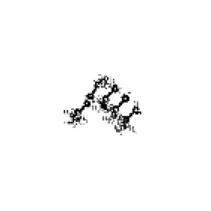 CN(C(=O)c1ncc(C#Cc2cccc(F)c2)cc1F)C(C)(C)C.Cc1cc(C#Cc2cc(F)ccc2F)cnc1C(=O)N(C)C(C)(C)C.Cc1cc(C#Cc2ccc(F)cc2)cnc1C(=O)N(C)C(C)(C)C.Cc1cc(C#Cc2cccc(F)c2)cnc1C(=O)N(C)C(C)(C)C.Cc1cc(C#Cc2cncc(Cl)c2)cnc1C(=O)N(C)C(C)(C)C